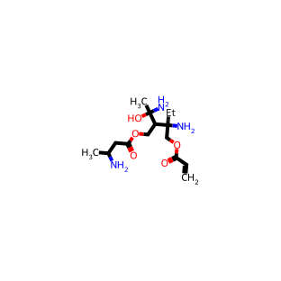 C=CC(=O)OCC(N)(CC)C(COC(=O)CC(C)N)C(C)(N)O